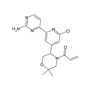 C=CC(=O)N1CC(C)(C)OCC1c1cc(Cl)nc(-c2ccnc(N)n2)c1